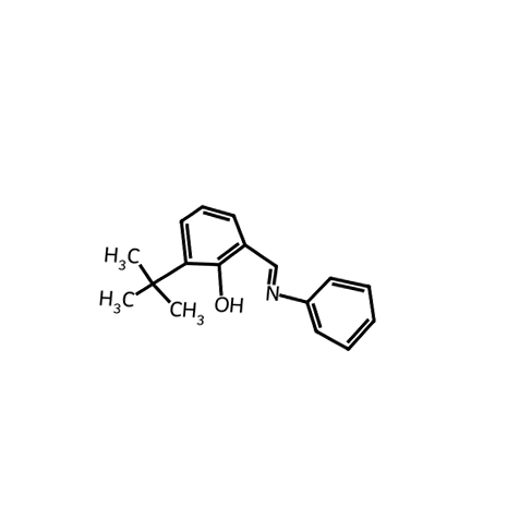 CC(C)(C)c1cccc(C=Nc2ccccc2)c1O